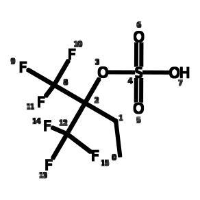 CCC(OS(=O)(=O)O)(C(F)(F)F)C(F)(F)F